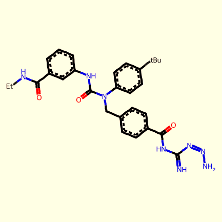 CCNC(=O)c1cccc(NC(=O)N(Cc2ccc(C(=O)NC(=N)/N=N\N)cc2)c2ccc(C(C)(C)C)cc2)c1